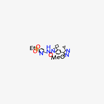 CCS(=O)(=O)c1ccc(CNC(=O)N2CC3(CCC3)c3cc(-c4c(OC)ncnc4C4CC4)ccc32)nc1